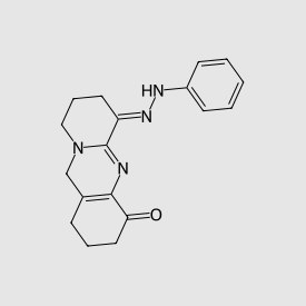 O=C1CCCC2=C1N=C1C(=NNc3ccccc3)CCCN1C2